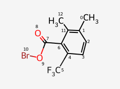 Cc1ccc(C(F)(F)F)c(C(=O)OBr)c1C